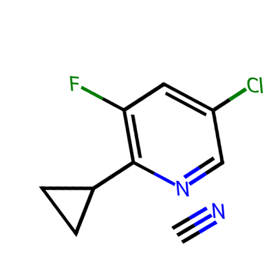 C#N.Fc1cc(Cl)cnc1C1CC1